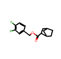 O=C(OCc1ccc(F)c(F)c1)C1CC2CCC1C2